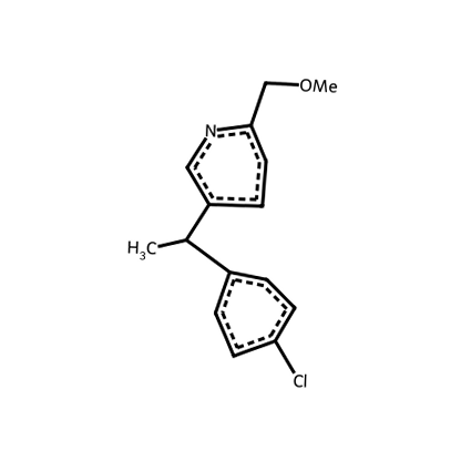 COCc1ccc(C(C)c2ccc(Cl)cc2)cn1